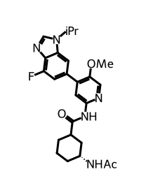 COc1cnc(NC(=O)C2CCC[C@@H](NC(C)=O)C2)cc1-c1cc(F)c2ncn(C(C)C)c2c1